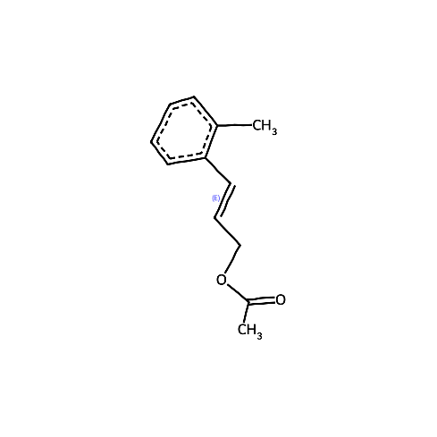 CC(=O)OC/C=C/c1ccccc1C